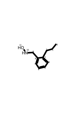 CCCc1ccccc1CNO